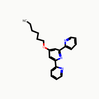 N#CCCCCCOc1cc(-c2ccccn2)nc(-c2ccccn2)c1